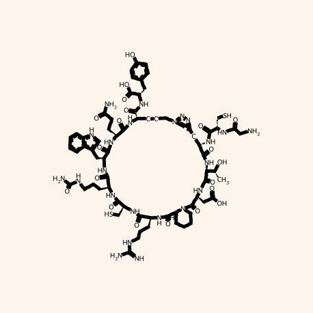 C[C@@H](O)[C@@H]1NC(=O)[C@@H](NC(=O)[C@H](CS)NC(=O)CN)Cc2cn(nn2)CCC[C@@H](C(=O)N[C@@H](Cc2ccc(O)cc2)C(=O)O)NC(=O)[C@H](CCC(N)=O)NC(=O)[C@H](Cc2c[nH]c3ccccc23)NC(=O)[C@H](CCCNC(N)=O)NC(=O)[C@H](CS)NC(=O)[C@H](CCCNC(=N)N)NC(=O)[C@@H]2CCCCN2C(=O)[C@H](CC(=O)O)NC1=O